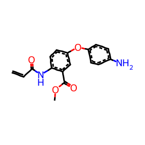 C=CC(=O)Nc1ccc(Oc2ccc(N)cc2)cc1C(=O)OC